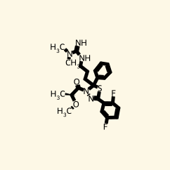 CO[C@@H](C)C(=O)N1N=C(c2cc(F)ccc2F)SC1(CCCNC(=N)N(C)C)c1ccccc1